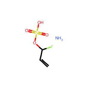 C=CC(F)OS(=O)(=O)O.N